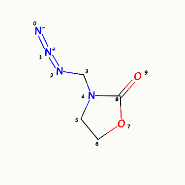 [N-]=[N+]=NCN1CCOC1=O